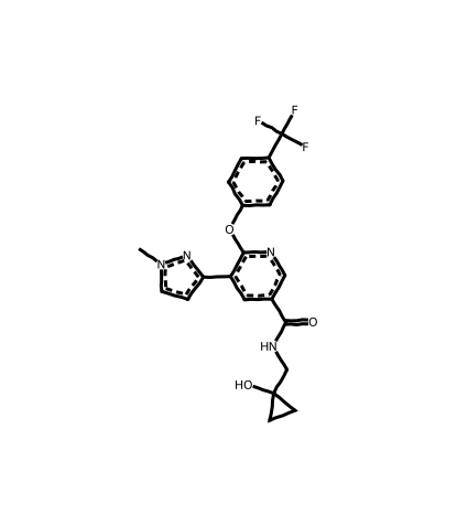 Cn1ccc(-c2cc(C(=O)NCC3(O)CC3)cnc2Oc2ccc(C(F)(F)F)cc2)n1